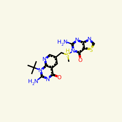 C[SH](Cc1cnc2c(c1)c(=O)nc(N)n2C(C)(C)C)n1c(N)nc2ncsc2c1=O